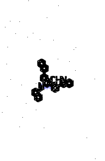 C=N/C(=C\C(=N/Cc1cccc2ccccc12)c1ccc(-c2ccc3ccccc3c2)cc1)c1cccc(-c2cnc3ccccc3c2)c1